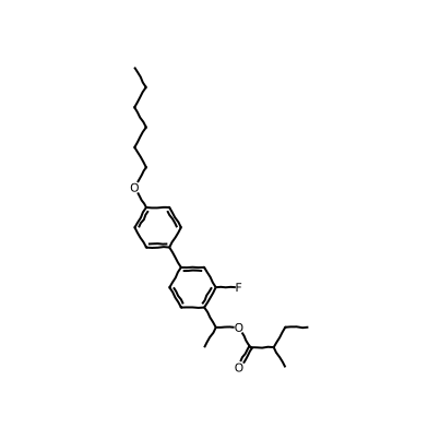 CCCCCCOc1ccc(-c2ccc(C(C)OC(=O)C(C)CC)c(F)c2)cc1